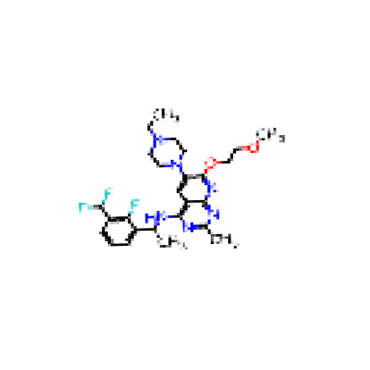 CCN1CCN(c2cc3c(N[C@H](C)c4cccc(C(F)F)c4F)nc(C)nc3nc2OCCOC)CC1